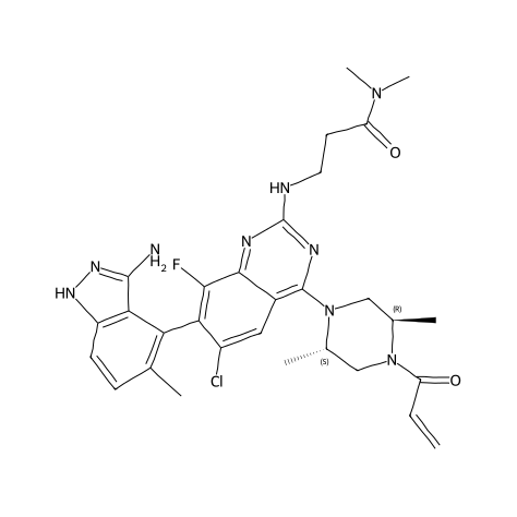 C=CC(=O)N1C[C@H](C)N(c2nc(NCCC(=O)N(C)C)nc3c(F)c(-c4c(C)ccc5[nH]nc(N)c45)c(Cl)cc23)C[C@H]1C